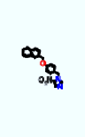 O=[N+]([O-])c1cncn1Cc1ccc(OCc2ccc3ccccc3c2)cc1